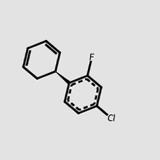 Fc1cc(Cl)ccc1[C@@H]1C=CC=CC1